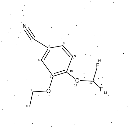 CCOc1cc(C#N)ccc1OC(F)F